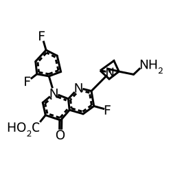 NCC12CC(C1)N(c1nc3c(cc1F)c(=O)c(C(=O)O)cn3-c1ccc(F)cc1F)C2